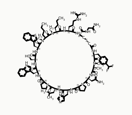 CCCCC1C(=O)N(C)[C@@H](CCCC)C(=O)N[C@@H](CCCNC(=N)N)C(=O)N[C@H](C(=O)NCC(N)=O)CSCC(=O)N[C@@H](Cc2ccc(C(F)F)cc2)C(=O)N(C)[C@@H](C)C(=O)N[C@@H](CC(N)=O)C(=O)N2CCC[C@H]2C(=O)N[C@@H](Cc2cnc[nH]2)C(=O)N[C@@H](CC(C)C)C(=O)N2CCC[C@H]2C(=O)N[C@@H](Cc2c[nH]c3ccccc23)C(=O)N[C@@H](CO)C(=O)N[C@@H](Cc2csc3ccccc23)C(=O)N1C